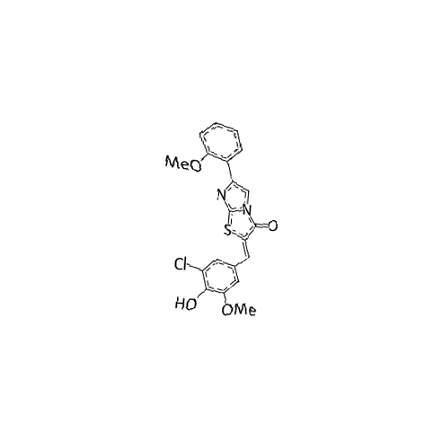 COc1ccccc1-c1cn2c(=O)/c(=C/c3cc(Cl)c(O)c(OC)c3)sc2n1